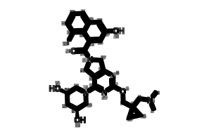 CN(C)CC1(COc2nc3c(c(N4C[C@H](O)C[C@H](O)C4)n2)CN(C(=O)c2cc(O)cc4cccc(I)c24)C3)CC1